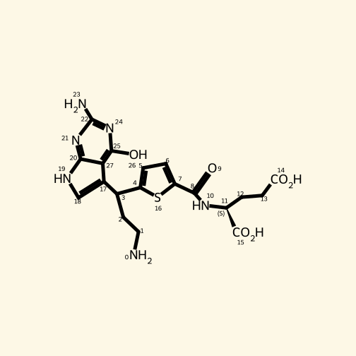 NCCC(c1ccc(C(=O)N[C@@H](CCC(=O)O)C(=O)O)s1)c1c[nH]c2nc(N)nc(O)c12